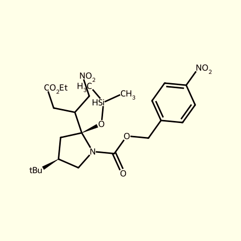 CCOC(=O)CC(C[N+](=O)[O-])[C@@]1(O[SiH](C)C)C[C@H](C(C)(C)C)CN1C(=O)OCc1ccc([N+](=O)[O-])cc1